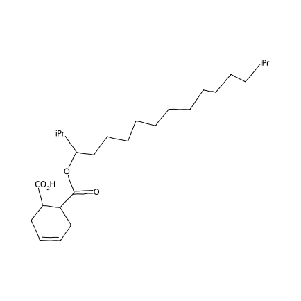 CC(C)CCCCCCCCCCCC(OC(=O)C1CC=CCC1C(=O)O)C(C)C